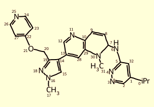 CC(C)c1cnnc(NC2C=Cc3ncc(-c4cn(C)nc4COc4ccncc4)cc3N2C)c1